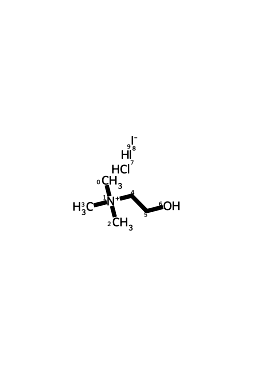 C[N+](C)(C)CCO.Cl.I.[I-]